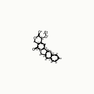 CCO[C@@H]1C(=O)OCc2c1cc1n(c2=O)Cc2cc3ccccc3nc2-1